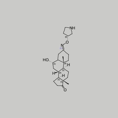 C[C@]12CC/C(=N\O[C@@H]3CCNC3)CC1[C@@H](O)C[C@@H]1[C@@H]2CC[C@]2(C)C(=O)CC[C@@H]12